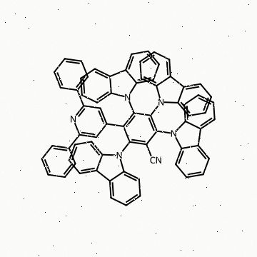 N#Cc1c(-n2c3ccccc3c3ccccc32)c(-c2cc(-c3ccccc3)nc(-c3ccccc3)c2)c(-n2c3ccccc3c3ccccc32)c(-n2c3ccccc3c3ccccc32)c1-n1c2ccccc2c2ccccc21